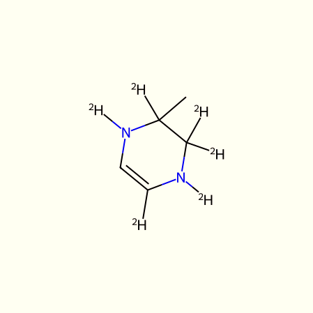 [2H]C1=CN([2H])C([2H])(C)C([2H])([2H])N1[2H]